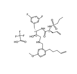 C=CCCCc1ccc(OC)cc1CNC[C@@H](O)[C@H](Cc1cc(F)cc(F)c1)NC(=O)[C@H](CC=C)NS(=O)(=O)CCC.O=C(O)C(F)(F)F